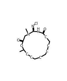 CC1CCCCCCCCCC(=O)N/C(=N\Cl)N(C)CC(=O)O1